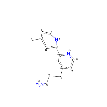 Cc1ccnc(-c2cc(CCCN)ccn2)c1